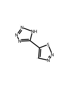 [c]1nnsc1-c1nnn[nH]1